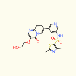 Cc1nc(C)c(S(=O)(=O)Nc2cncc(-c3ccc4ncc(OCCO)c(=O)n4c3)c2)s1